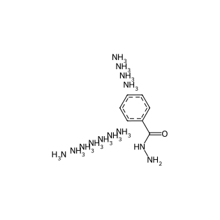 N.N.N.N.N.N.N.N.N.N.N.NNC(=O)c1ccccc1